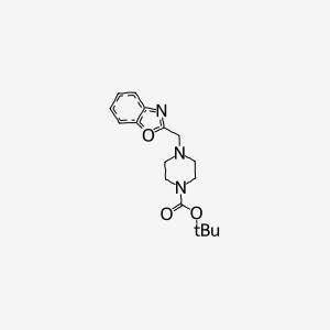 CC(C)(C)OC(=O)N1CCN(Cc2nc3ccccc3o2)CC1